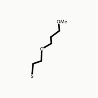 COCCCOCC[S]